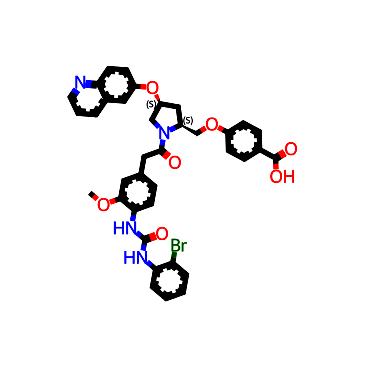 COc1cc(CC(=O)N2C[C@@H](Oc3ccc4ncccc4c3)C[C@H]2COc2ccc(C(=O)O)cc2)ccc1NC(=O)Nc1ccccc1Br